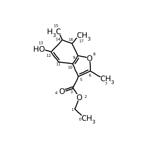 CCOC(=O)c1c(C)oc2c1C=C(O)C(C)C2C